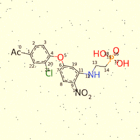 CC(=O)c1ccc(Oc2ccc([N+](=O)[O-])c(NCCP(=O)(O)O)c2)c(Cl)c1